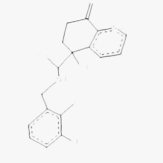 C=C1CCC(O)(C(O)NCc2cccc(C(F)(F)F)c2Cl)c2cccnc21